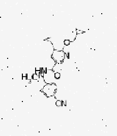 CN(NC(=O)c1cnc(OCC2CC2)c(C2CC2)c1)c1ccc(C#N)cc1